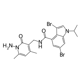 Cc1cc(C)n(N)c(=O)c1CNC(=O)c1cc(Br)cc2c1c(Br)cn2C(C)C